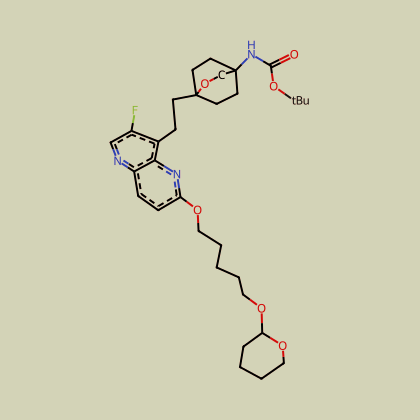 CC(C)(C)OC(=O)NC12CCC(CCc3c(F)cnc4ccc(OCCCCCOC5CCCCO5)nc34)(CC1)OC2